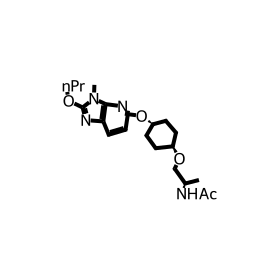 CCCOc1nc2ccc(O[C@H]3CC[C@H](OC[C@H](C)NC(C)=O)CC3)nc2n1C